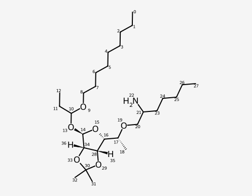 CCCCCCCCCOC(CC)O[C@H]1O[C@H]([C@@H](C)OCC(N)CCCCC)[C@@H]2OC(C)(C)O[C@H]12